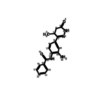 CC1CC(=O)NN=C1c1ccc(NC(=O)c2ccncc2)c(N)c1